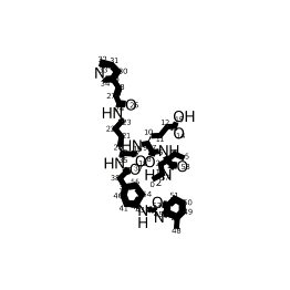 CCCC(CC)(NC(=O)[C@@H](CCCC(=O)O)NC(=O)[C@@H](CCCCNC(=O)/C=C/c1cccnc1)NC(=O)Cc1ccc(Nc2nc3c(C)cccc3o2)cc1)C(N)=O